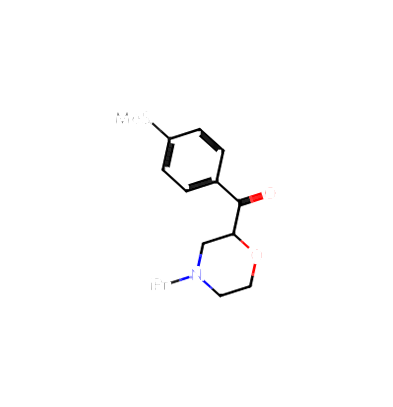 CSc1ccc(C(=O)C2CN(C(C)C)CCO2)cc1